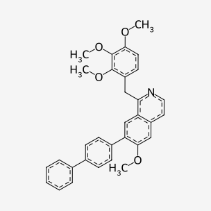 COc1cc2ccnc(Cc3ccc(OC)c(OC)c3OC)c2cc1-c1ccc(-c2ccccc2)cc1